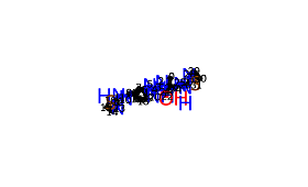 Cc1nn(-c2nc3cc(/C=N/Nc4nccs4)ccc3[nH]2)c(O)c1/C=N/Nc1nccs1